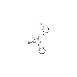 CCNC(=S)N(NCc1cccc(Br)c1)OCc1ccccc1